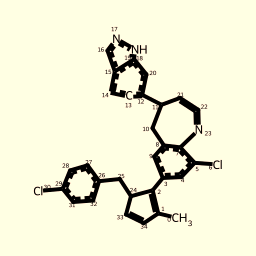 CC1=C(c2cc(Cl)c3c(c2)CC(c2ccc4cn[nH]c4c2)C=C=N3)C(Cc2ccc(Cl)cc2)C=C1